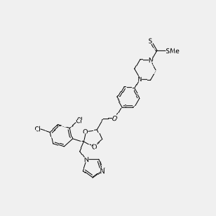 CSC(=S)N1CCN(c2ccc(OCC3COC(Cn4ccnc4)(c4ccc(Cl)cc4Cl)O3)cc2)CC1